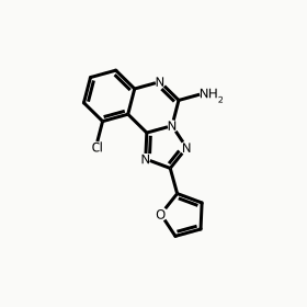 Nc1nc2cccc(Cl)c2c2nc(-c3ccco3)nn12